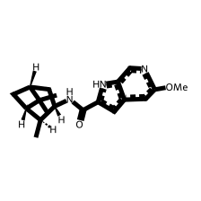 COc1cc2cc(C(=O)N[C@H]3C[C@H]4C[C@@H]([C@@H]3C)C4(C)C)[nH]c2cn1